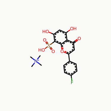 C[N+](C)(C)C.O=c1cc(-c2ccc(F)cc2)oc2c(S(=O)(=O)O)c(O)cc(O)c12